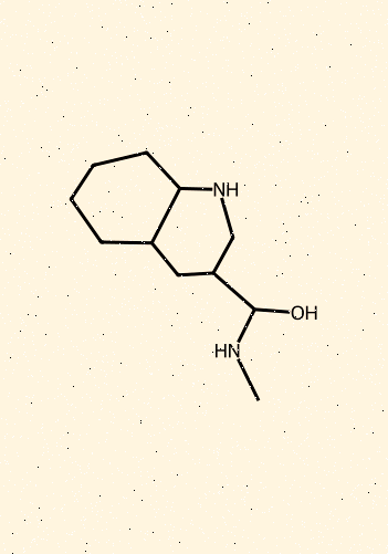 CNC(O)C1CNC2CCCCC2C1